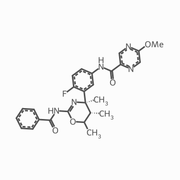 COc1cnc(C(=O)Nc2ccc(F)c([C@]3(C)N=C(NC(=O)c4ccccc4)OC(C)[C@H]3C)c2)cn1